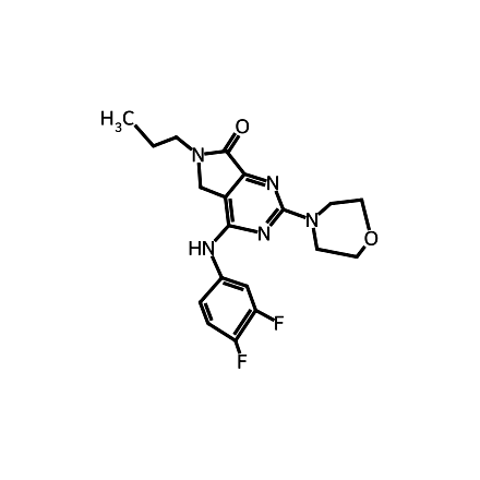 CCCN1Cc2c(Nc3ccc(F)c(F)c3)nc(N3CCOCC3)nc2C1=O